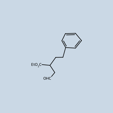 CCOC(=O)C(CC=O)CCc1ccccc1